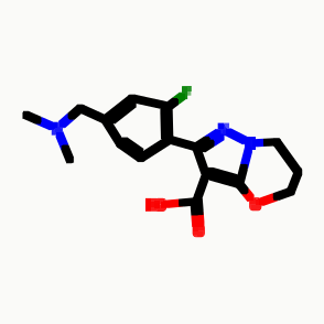 CN(C)Cc1ccc(-c2nn3c(c2C(=O)O)OCCC3)c(F)c1